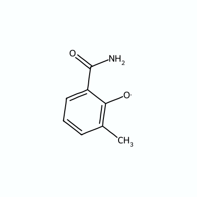 Cc1cccc(C(N)=O)c1[O]